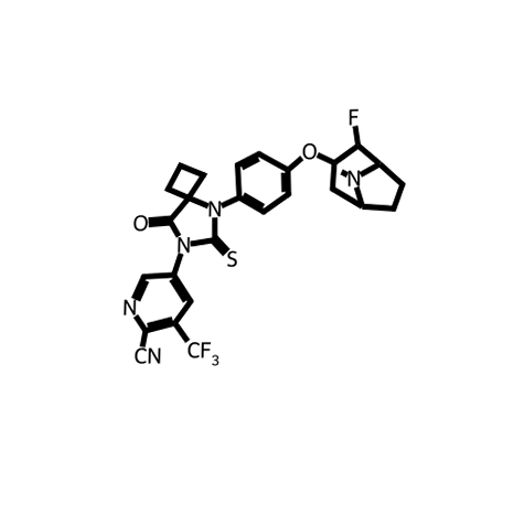 CN1C2CCC1C(F)C(Oc1ccc(N3C(=S)N(c4cnc(C#N)c(C(F)(F)F)c4)C(=O)C34CCC4)cc1)C2